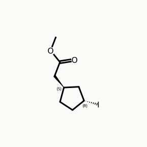 COC(=O)C[C@@H]1CC[C@@H](I)C1